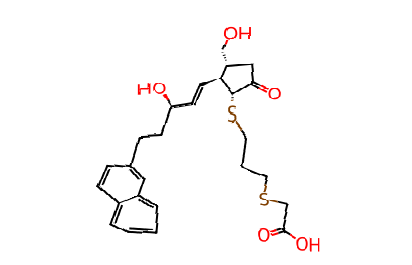 O=C(O)CSCCCS[C@H]1C(=O)C[C@@H](CO)[C@@H]1C=C[C@H](O)CCc1ccc2ccccc2c1